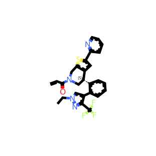 C=CC(=O)N1Cc2sc(-c3ccccn3)cc2[C@H](c2ccccc2-c2cn(CC)nc2C(F)(F)F)C1